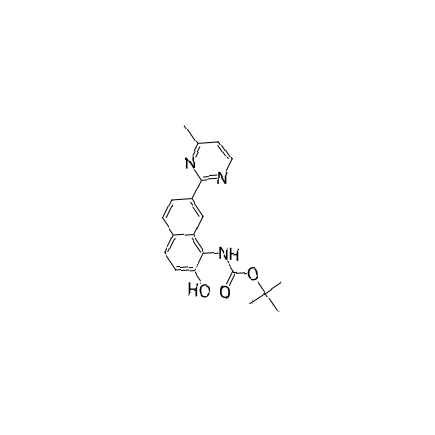 Cc1ccnc(-c2ccc3ccc(O)c(NC(=O)OC(C)(C)C)c3c2)n1